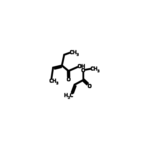 C=CC(=O)OC.CC=C(CC)C(=O)O